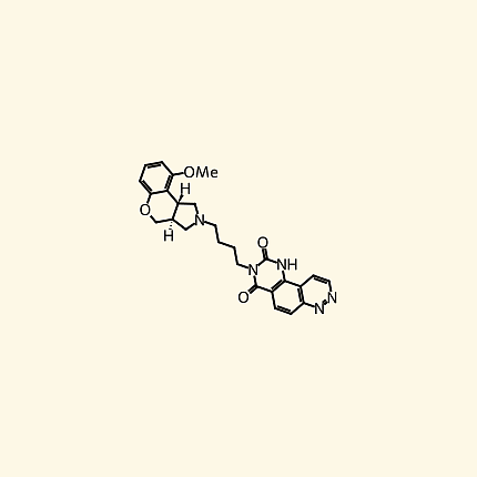 COc1cccc2c1[C@@H]1CN(CCCCn3c(=O)[nH]c4c(ccc5nnccc54)c3=O)C[C@H]1CO2